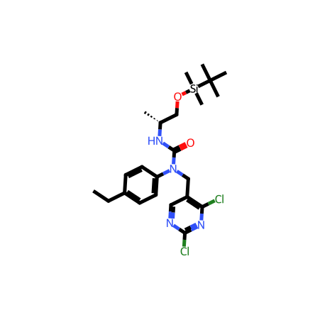 CCc1ccc(N(Cc2cnc(Cl)nc2Cl)C(=O)N[C@H](C)CO[Si](C)(C)C(C)(C)C)cc1